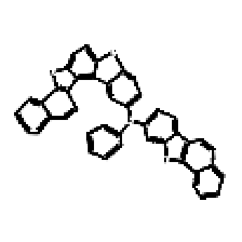 c1ccc(N(c2ccc3c(c2)oc2c4ccccc4ccc32)c2ccc3oc4ccc5oc6c7ccccc7ccc6c5c4c3c2)cc1